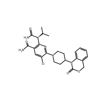 CC(C)[C@H](C(N)=O)c1nc(N2CCC(N3C(=O)OCc4ccccc43)CC2)c(Cl)cc1C(N)=O